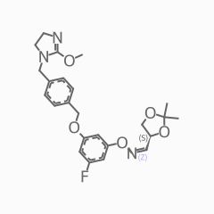 COC1=NCCN1Cc1ccc(COc2cc(F)cc(O/N=C\[C@H]3COC(C)(C)O3)c2)cc1